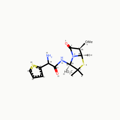 CO[C@@H]1C(=O)N2[C@@H]1SC(C)(C)[C@]2(NC(=O)C(N)c1cccs1)C(=O)O